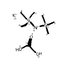 C[Si](C)(C)[N-][Si](C)(C)C.O=C(O)O.[K+]